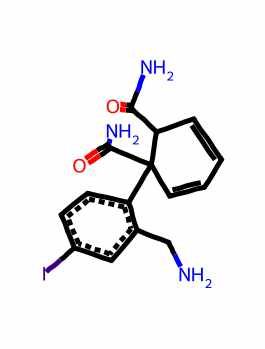 NCc1cc(I)ccc1C1(C(N)=O)C=CC=CC1C(N)=O